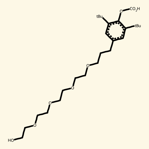 CC(C)(C)c1cc(CCCOCCOCCOCCOCCO)cc(C(C)(C)C)c1OC(=O)O